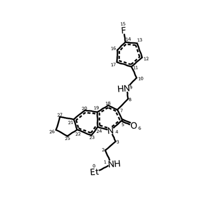 CCNCCn1c(=O)c(CNCc2ccc(F)cc2)cc2cc3c(cc21)CCC3